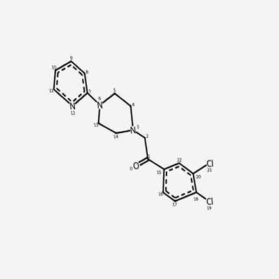 O=C(CN1CCN(c2ccccn2)CC1)c1ccc(Cl)c(Cl)c1